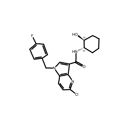 O=C(N[C@H]1CCCC[C@@H]1O)c1cn(Cc2ccc(F)cc2)c2ccc(Cl)nc12